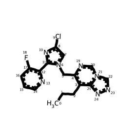 CCCc1c(Cn2cc(Cl)nc2-c2ncccc2F)ncn2cnnc12